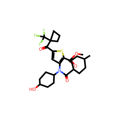 COC(=O)c1sc(C(=O)C2(C(F)(F)F)CCC2)cc1N(C(=O)C1CCC(C)CC1)C1CCC(O)CC1